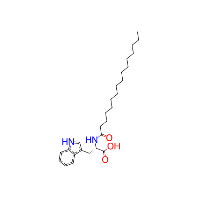 CCCCCCCCCCCCCCCC(=O)N[C@@H](Cc1c[nH]c2ccccc12)C(=O)O